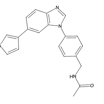 CC(=O)NCc1ccc(-n2cnc3ccc(-c4ccsc4)cc32)cc1